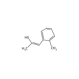 C/C(S)=C/c1ccccc1C